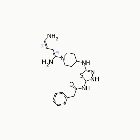 N/C=C\C=C(/N)N1CCC(NC2=NNC(NC(=O)Cc3ccccc3)S2)CC1